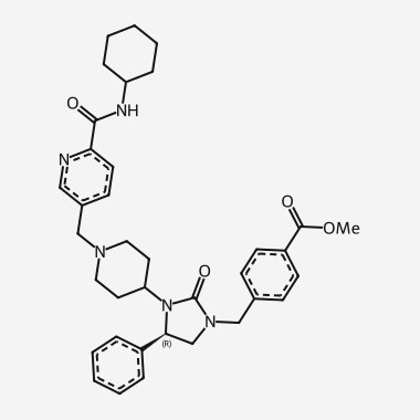 COC(=O)c1ccc(CN2C[C@@H](c3ccccc3)N(C3CCN(Cc4ccc(C(=O)NC5CCCCC5)nc4)CC3)C2=O)cc1